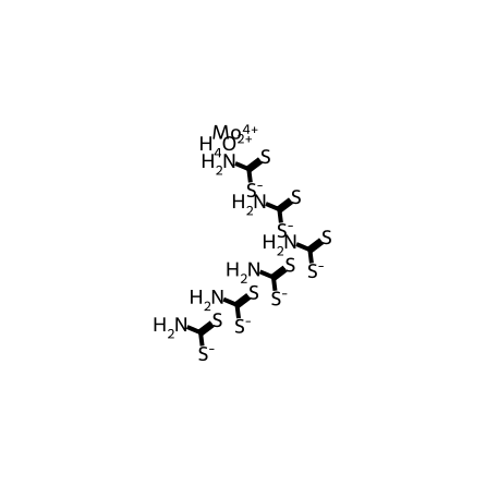 NC(=S)[S-].NC(=S)[S-].NC(=S)[S-].NC(=S)[S-].NC(=S)[S-].NC(=S)[S-].[Mo+4].[OH4+2]